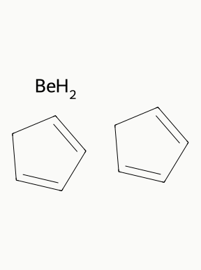 C1=CCC=C1.C1=CCC=C1.[BeH2]